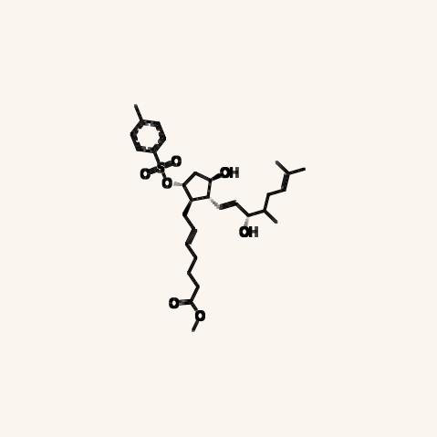 COC(=O)CCCC=CC[C@@H]1[C@@H](C=C[C@@H](O)C(C)CC=C(C)C)[C@H](O)C[C@H]1OS(=O)(=O)c1ccc(C)cc1